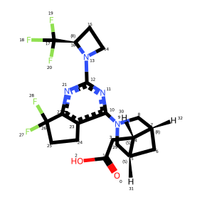 O=C(O)C[C@H]1[C@@H]2C[C@H]1CN(c1nc(N3CC[C@@H]3C(F)(F)F)nc3c1CCC3(F)F)C2